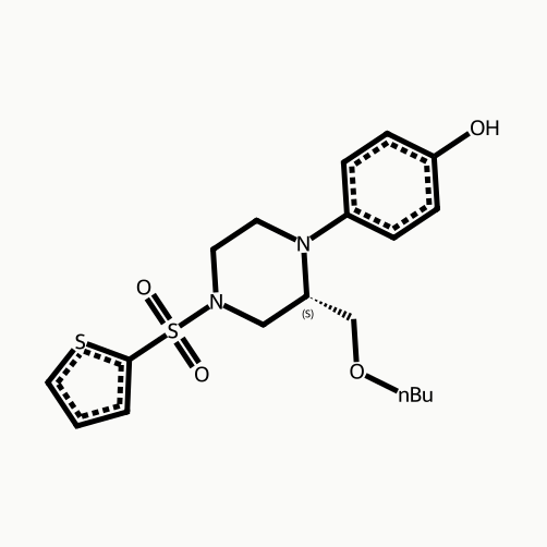 CCCCOC[C@@H]1CN(S(=O)(=O)c2cccs2)CCN1c1ccc(O)cc1